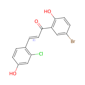 O=C(/C=C/c1ccc(O)cc1Cl)c1cc(Br)ccc1O